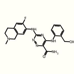 COCc1ccccc1Nc1nc(Nc2cc3c(cc2F)CCN(C)C3)nnc1C(N)=O